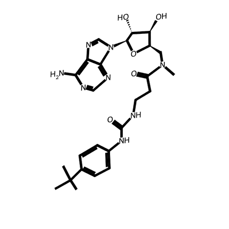 CN(C[C@H]1O[C@@H](n2cnc3c(N)ncnc32)[C@H](O)[C@H]1O)C(=O)CCNC(=O)Nc1ccc(C(C)(C)C)cc1